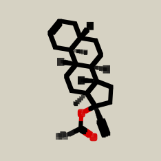 C#C[C@]1(OC(=O)CCC)CC[C@H]2[C@@H]3CC[C@H]4CC=CC[C@]4(C)[C@H]3CC[C@@]21C